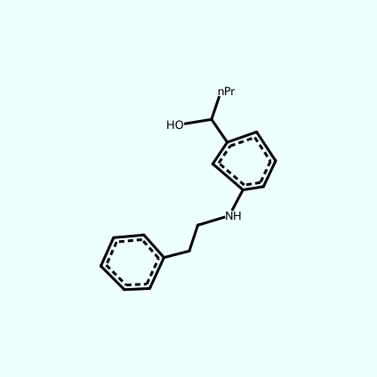 CCCC(O)c1cccc(NCCc2ccccc2)c1